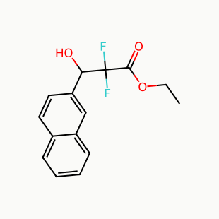 CCOC(=O)C(F)(F)C(O)c1ccc2ccccc2c1